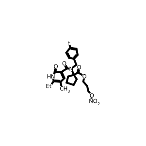 CCc1[nH]c(=O)c(C(=O)N(Cc2ccc(F)cc2)C2(C(=O)OCCCO[N+](=O)[O-])CCCC2)cc1C